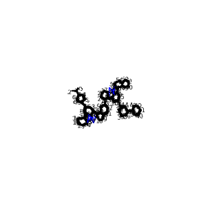 CC(C)c1ccc(-c2cc3c4ccccc4n4c5ccc6ccc(-c7cccc8c7c7cc(-c9cccc(-c%10ccccc%10)c9)cc9c%10c%11ccccc%11ccc%10n8c79)cc6c5c(c2)c34)cc1